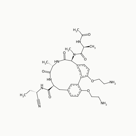 CC[C@@H](C#N)NC(=O)[C@@H]1Cc2ccc(OCCN)c(c2)-c2cc(ccc2OCCN)[C@H](N(C)C(=O)[C@H](C)NC(C)=O)C(=O)N[C@@H](C)C(=O)N1